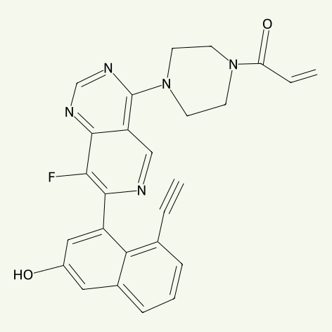 C#Cc1cccc2cc(O)cc(-c3ncc4c(N5CCN(C(=O)C=C)CC5)ncnc4c3F)c12